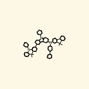 CC1(C)c2ccccc2-c2ccc(N(c3ccc(-c4ccccc4)cc3)c3ccc4c(c3)c3cc(-c5ccc6c(c5)N(c5ccccc5)c5ccccc5C6(C)C)ccc3n4-c3ccccc3)cc21